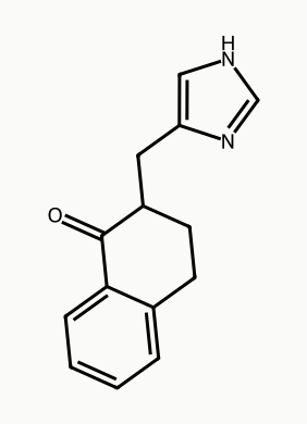 O=C1c2ccccc2CCC1Cc1c[nH]cn1